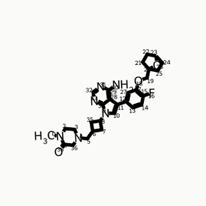 CN1CCN(CC2CC(n3cc(-c4ccc(F)c(OCC56CCC(CC5)O6)c4)c4c(N)ncnc43)C2)CC1=O